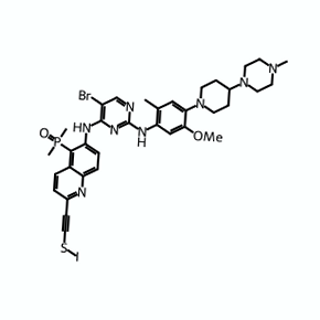 COc1cc(Nc2ncc(Br)c(Nc3ccc4nc(C#CSI)ccc4c3P(C)(C)=O)n2)c(C)cc1N1CCC(N2CCN(C)CC2)CC1